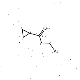 CC(=O)CCC(=O)C1CC1